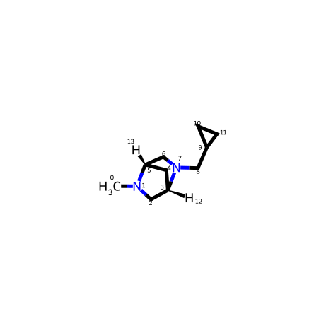 CN1C[C@@H]2C[C@H]1CN2CC1CC1